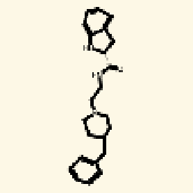 O=C(NCCN1CCC(Cc2ccccc2)CC1)[C@H]1Cc2ccccc2N1